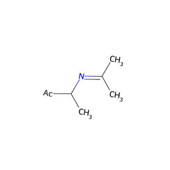 CC(=O)C(C)N=C(C)C